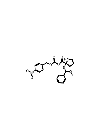 COC(S[C@]1(C(=O)OC(=O)OCc2ccc([N+](=O)[O-])cc2)CCCN1)c1ccccc1